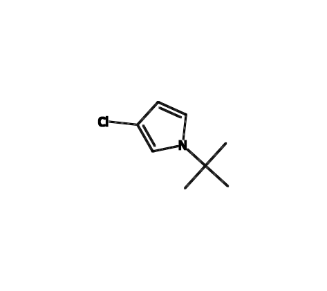 CC(C)(C)n1ccc(Cl)c1